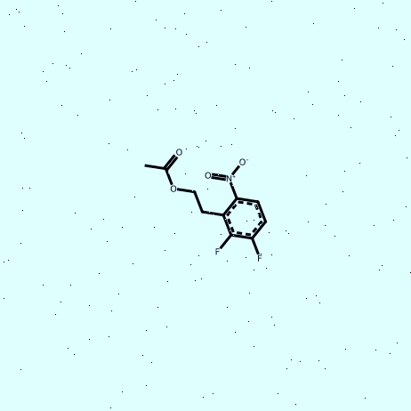 CC(=O)OCCc1c([N+](=O)[O-])ccc(F)c1F